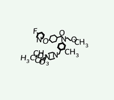 COCCN(C(=O)C1CCC(Oc2ccc(F)cn2)CC1)c1ccc(CN2CCN(C(=O)OC(C)(C)C)CC2)c(C)c1